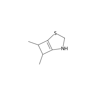 CC1C2=C(SCN2)C1C